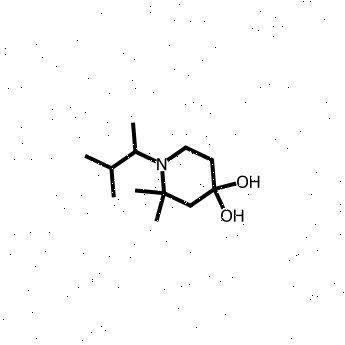 CC(C)C(C)N1CCC(O)(O)CC1(C)C